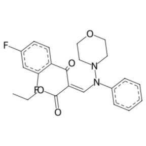 CCOC(=O)C(=CN(c1ccccc1)N1CCOCC1)C(=O)c1ccc(F)cc1F